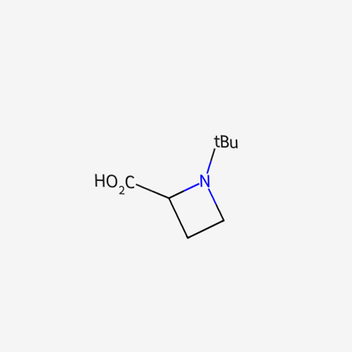 CC(C)(C)N1CCC1C(=O)O